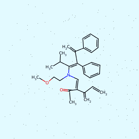 C=CC(=C)/C(=C/N(CCOC)/C(=C(/C(=C)c1ccccc1)c1ccccc1)C(C)C)C(C)=O